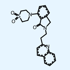 O=C1c2c(cccc2N2CCS(=O)(=O)CC2)CN1CCc1ccc2ccccc2n1